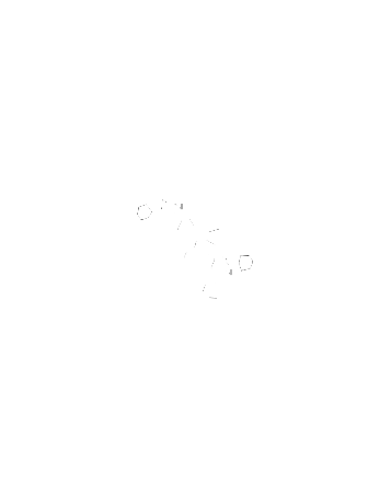 N=C(OC(N)C1=CCC(C2=C3C=CCCC3C(C3=CC(C4C=CC=CC4)NC(c4ccccc4)=N3)C3=C2C=CCC3)C=C1)c1ccccc1